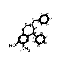 Nc1cc2c(cc1O)CCN(Cc1ccccc1)CC2c1ccccc1